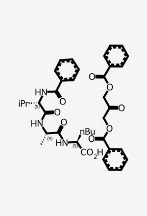 CCCC[C@H](NC(=O)[C@H](C)NC(=O)[C@@H](NC(=O)c1ccccc1)C(C)C)C(=O)O.O=C(COC(=O)c1ccccc1)COC(=O)c1ccccc1